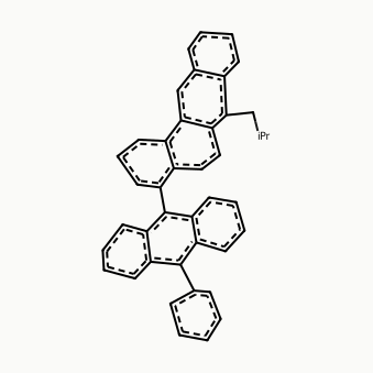 CC(C)Cc1c2ccccc2cc2c1ccc1c(-c3c4ccccc4c(-c4ccccc4)c4ccccc34)cccc12